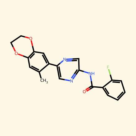 Cc1cc2c(cc1-c1cnc(NC(=O)c3ccccc3F)cn1)OCCO2